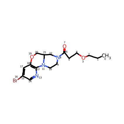 CCCOCCC(=O)N1CCN2c3ncc(Br)cc3OCC2C1